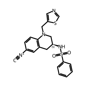 [C-]#[N+]c1ccc2c(c1)C[C@H](NS(=O)(=O)c1ccccc1)CN2Cc1cncs1